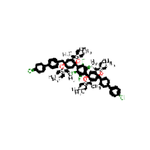 CC[Si](CC)(CC)OC1(CC2=CCC(c3ccc(Cl)cc3)C=C2)C=CC(O[Si](CC)(CC)CC)(c2c(F)c(F)c(C3(O[Si](CC)(CC)CC)C=CC(O[Si](CC)(CC)CC)(c4ccc(-c5ccc(Cl)cc5)cc4)C=C3)c(F)c2F)C=C1